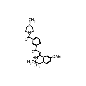 COc1ccc2c(c1)C(=CC(=O)c1cccc(C(=O)N3CCN(C)CC3)c1)NC(C)(C)C2